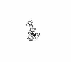 Cc1cccc(OC2CCN(S(=O)(=O)C3CCOCC3(O)C(=O)NO)CC2)c1